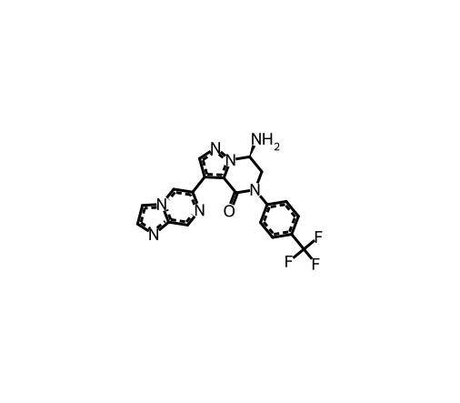 N[C@H]1CN(c2ccc(C(F)(F)F)cc2)C(=O)c2c(-c3cn4ccnc4cn3)cnn21